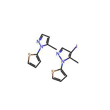 Cc1c(I)cnn1-c1cccs1.Cc1ccnn1-c1cccs1